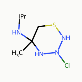 CC(C)NC1(C)CSNN(Cl)N1